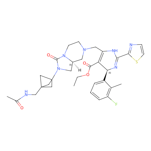 CCOC(=O)C1=C(CN2CCN3C(=O)N(C45CC(CNC(C)=O)(C4)C5)C[C@@H]3C2)NC(c2nccs2)=N[C@H]1c1cccc(F)c1C